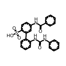 O=C(Nc1ccccc1)Nc1ccccc1-c1cc(NC(=O)c2ccccc2)ccc1S(=O)(=O)O